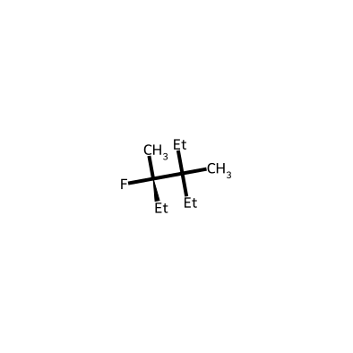 CCC(C)(CC)[C@@](C)(F)CC